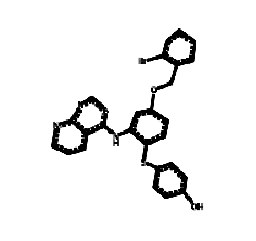 Oc1ccc(Sc2ccc(OCc3ccccc3Br)cc2Nc2ncnc3ncccc23)cc1